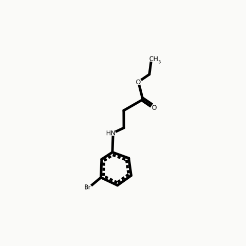 CCOC(=O)CCNc1cccc(Br)c1